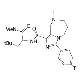 CNC(=O)C(CC(C)(C)C)NC(=O)c1nc(-c2ccc(F)cc2)n2c1CN(C)CCC2